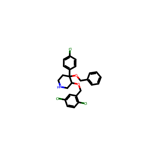 Clc1ccc(C2(OCc3ccccc3)CCNCC2OCc2cc(Cl)ccc2Cl)cc1